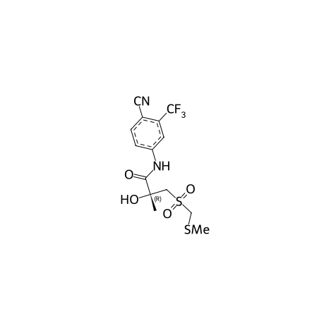 CSCS(=O)(=O)C[C@](C)(O)C(=O)Nc1ccc(C#N)c(C(F)(F)F)c1